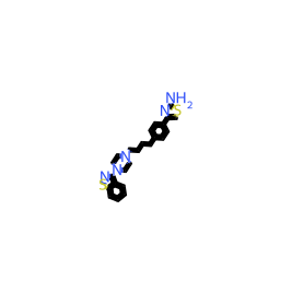 Nc1nc(-c2ccc(CCCCN3CCN(c4nsc5ccccc45)CC3)cc2)cs1